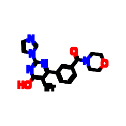 CC(C)c1c(O)nc(-n2ccnc2)nc1-c1cccc(C(=O)N2CCOCC2)c1